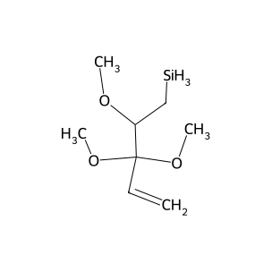 C=CC(OC)(OC)C(C[SiH3])OC